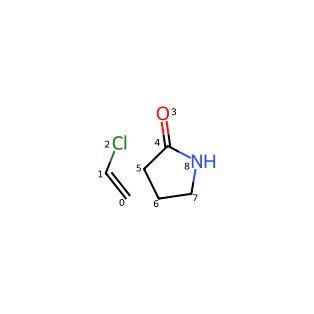 C=CCl.O=C1CCCN1